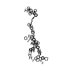 CC1(C)CCC(CN2CCN(c3ccc(C(=O)NS(=O)(=O)c4ccc(NCC5CCN(C6CCN(C(=O)CCCCC#Cc7cccc8c7CN(C7CCC(=O)NC7=O)C8=O)CC6)CC5)c([N+](=O)[O-])c4)c(Oc4cnc5[nH]ccc5c4)c3)CC2)=C(c2ccc(Cl)cc2)C1